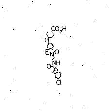 O=C(NCCNC(=O)c1ccc(O[C@H]2CC[C@@H](C(=O)O)CC2)cc1F)c1cc2cc(Cl)ccc2s1